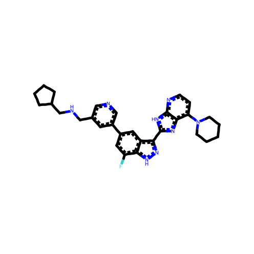 Fc1cc(-c2cncc(CNCC3CCCC3)c2)cc2c(-c3nc4c(N5CCCCC5)ccnc4[nH]3)n[nH]c12